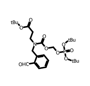 CC(C)(C)OC(=O)CCN(Cc1ccccc1C=O)C(=O)OCOP(=O)(OC(C)(C)C)OC(C)(C)C